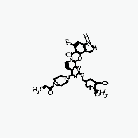 C=CC(=O)N1CCN(c2nc(OCC3CC(=O)N(C)C3)nc3c(Oc4c(Cl)c(F)cc5[nH]ncc45)nccc23)CC1